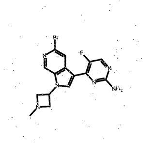 CN1CC(n2cc(-c3nc(N)ncc3F)c3cc(Br)ncc32)C1